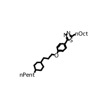 CCCCCCCCc1nnc(-c2ccc(OCCCC3CCC(CCCCC)CC3)cc2)s1